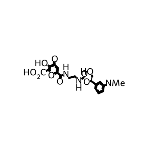 CNc1cccc([C@H](CO)OC(=O)NCCNC(=O)c2cc(=O)c(O)c(C(=O)O)o2)c1